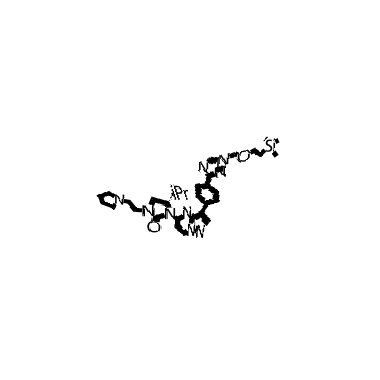 CC(C)[C@H]1CN(CCN2CCCC2)C(=O)N1c1ccn2ncc(-c3ccc(-c4ncn(COCC[Si](C)(C)C)n4)cc3)c2n1